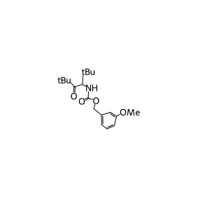 COc1cccc(COC(=O)NC(C(=O)C(C)(C)C)C(C)(C)C)c1